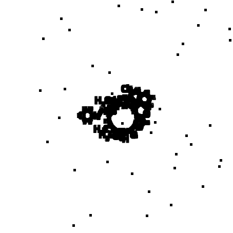 CO[C@]1(CNCCN2CCOCC2)/C=C/C[C@H](C)[C@@H](C)S(=O)(=O)NC(=O)c2ccc3c(c2)N(C[C@@H]2CC[C@H]21)C[C@@]1(CCCc2cc(Cl)ccc21)CO3